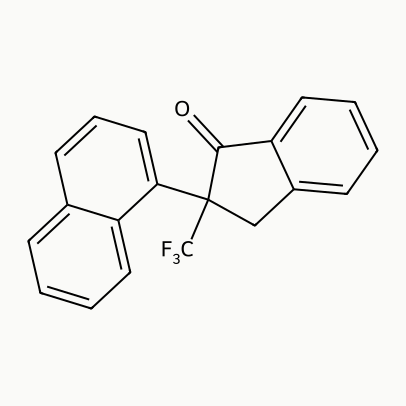 O=C1c2ccccc2CC1(c1cccc2ccccc12)C(F)(F)F